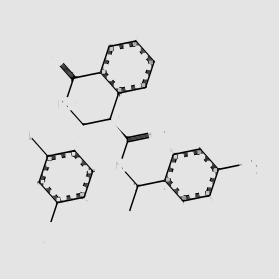 CC(NC(=O)[C@@H]1c2ccccc2C(=O)N[C@H]1c1ccc(Cl)cc1Cl)c1ccc(C#N)cc1